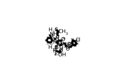 CC(C)=CCn1c(SC2(CN)CCCCC2)nc2c1c(=O)n(CCS(=O)(=O)Cc1ccc(Cl)cc1)c(=O)n2C.O=C(O)C(F)(F)F